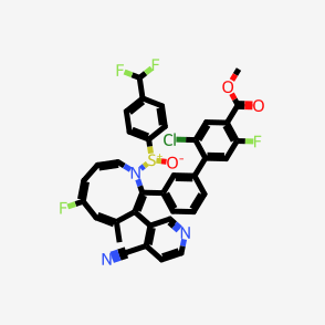 COC(=O)c1cc(Cl)c(-c2cccc(-c3c(-c4cnccc4C#N)c(C)cc(F)cccn3[S+]([O-])c3ccc(C(F)F)cc3)c2)cc1F